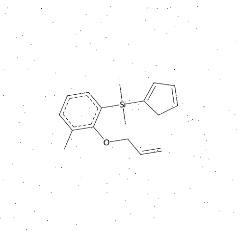 C=CCOc1c(C)cccc1[Si](C)(C)C1=CC=CC1